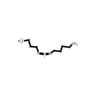 CCCCCN=C=NCCCC